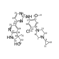 COc1cc(N2CCN(C3CC3)CC2)c(Cl)cc1Nc1nccc(-c2cnc3c(c2)C(C)(CO)CN3)n1